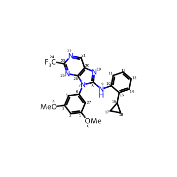 COc1cc(OC)cc(-n2c(Nc3ccccc3C3CC3)nc3cnc(C(F)(F)F)nc32)c1